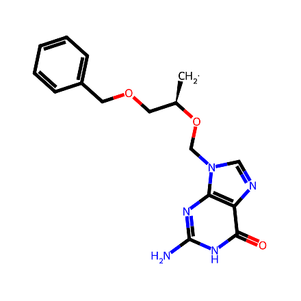 [CH2][C@H](COCc1ccccc1)OCn1cnc2c(=O)[nH]c(N)nc21